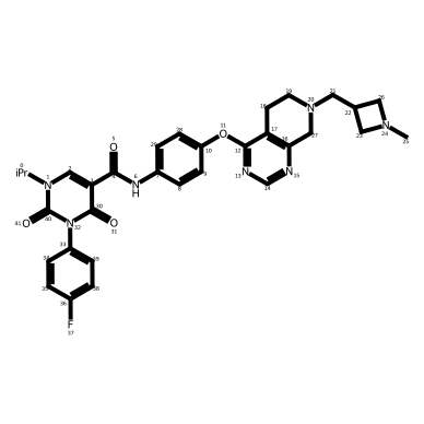 CC(C)n1cc(C(=O)Nc2ccc(Oc3ncnc4c3CCN(CC3CN(C)C3)C4)cc2)c(=O)n(-c2ccc(F)cc2)c1=O